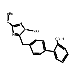 CCCCOc1nc(Cc2ccc(-c3ccccc3C(=O)O)cc2)n(CCCC)n1